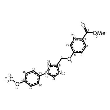 COC(=O)c1ccc(OCc2ncn(-c3ccc(OC(F)(F)F)cc3)n2)cn1